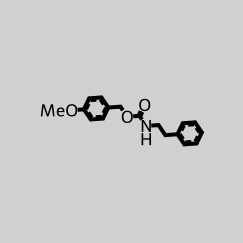 COc1ccc(COC(=O)NCCc2ccccc2)cc1